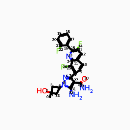 CC1(O)CC(n2nc(-c3ccc4cc(F)c(-c5ccccc5F)nc4c3F)c(C(N)=O)c2N)C1